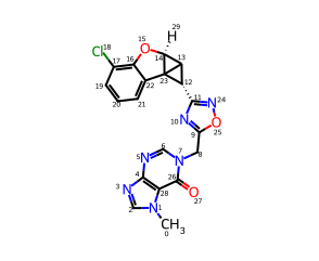 Cn1cnc2ncn(Cc3nc([C@H]4C5[C@@H]6Oc7c(Cl)cccc7C564)no3)c(=O)c21